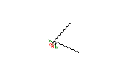 CCCCCCCCCCCCC1=C(Br)S(=O)(=O)C(Br)=C1CCCCCCCCCCCC